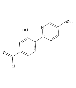 CCCCCCCCc1ccc(-c2ccc(C(=O)Cl)cc2)nc1.Cl